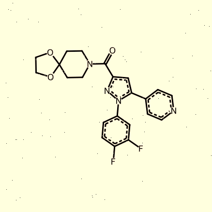 O=C(c1cc(-c2ccncc2)n(-c2ccc(F)c(F)c2)n1)N1CCC2(CC1)OCCO2